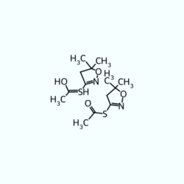 CC(=O)SC1=NOC(C)(C)C1.CC(O)=[SH]C1=NOC(C)(C)C1